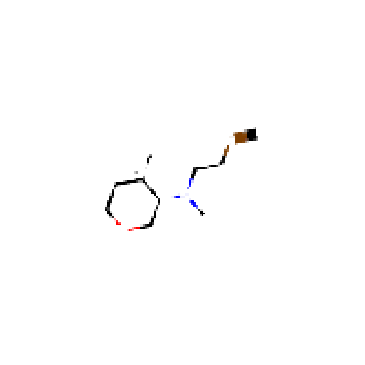 C#SCCN(C)[C@H]1COCC[C@H]1C